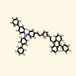 C(=Cc1ccc(C=Cc2c3ccccc3c(-c3ccccc3)c3ccccc23)s1)c1ccc(N(c2ccc(-c3ccccc3)cc2)c2ccc(-c3ccccc3)cc2)cc1